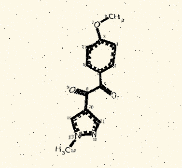 COc1ccc(C(=O)C(=O)c2cnn(C)c2)cc1